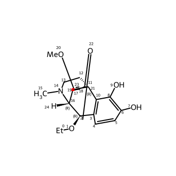 CCO[C@@H]1c2ccc(O)c(O)c2[C@@]23CCN(C)[C@@H]1C2C=C(OC)C(=O)C3